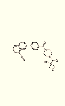 N#Cc1cccc2ccc(-c3ccc(C(=O)N4CCN(C(=O)C5(O)COC5)CC4)cc3)cc12